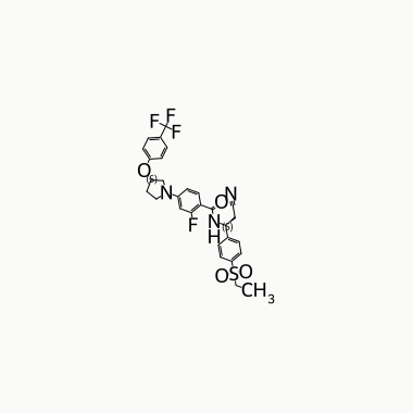 CCS(=O)(=O)c1ccc([C@H](CC#N)NC(=O)c2ccc(N3CC[C@H](Oc4ccc(C(F)(F)F)cc4)C3)cc2F)cc1